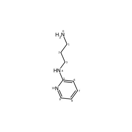 NCCCNc1ccccn1